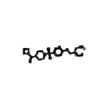 NC/C(=C\F)COc1ccc(S(=O)(=O)N2CCC(C(=O)N3CCC3)CC2)cn1